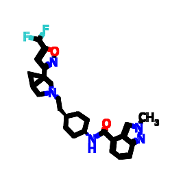 Cn1cc2c(C(=O)N[C@H]3CC[C@H](CCN4CC5CC5(c5cc(C(F)F)on5)C4)CC3)cccc2n1